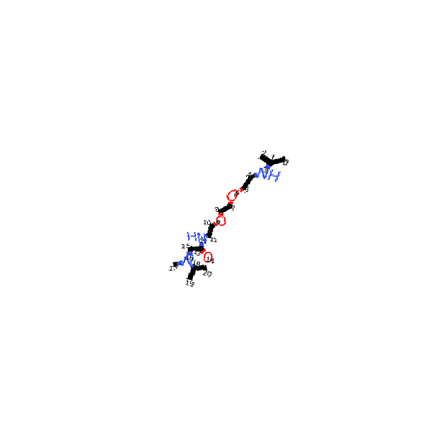 CC(C)NCCOCCOCCNC(=O)CN(C)C(C)C